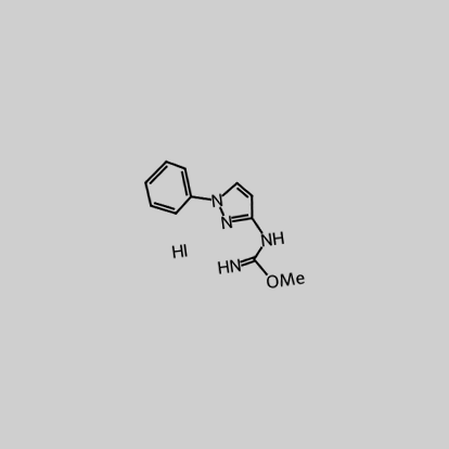 COC(=N)Nc1ccn(-c2ccccc2)n1.I